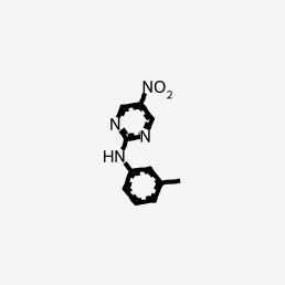 Cc1cccc(Nc2ncc([N+](=O)[O-])cn2)c1